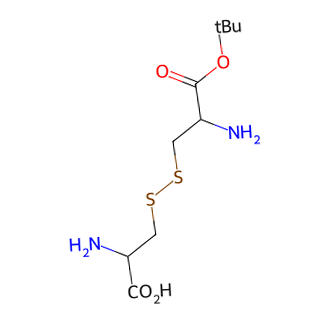 CC(C)(C)OC(=O)C(N)CSSCC(N)C(=O)O